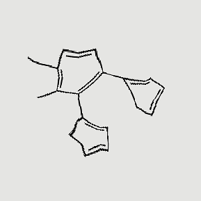 Cc1ccc(C2=CC=CC2)c(C2=CC=CC2)c1C